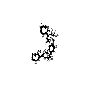 CC1(C)CC(c2ccccnc2=O)CC(C)(C)N1Cc1ccc(CN2C(C)(C)CC(c3ccccnc3=O)CC2(C)C)cc1